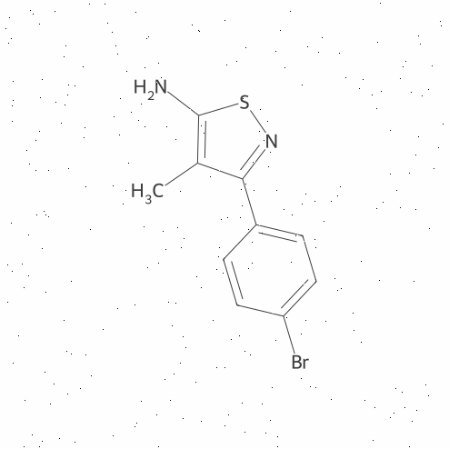 Cc1c(-c2ccc(Br)cc2)nsc1N